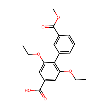 CCOc1cc(C(=O)O)cc(OCC)c1-c1cccc(C(=O)OC)c1